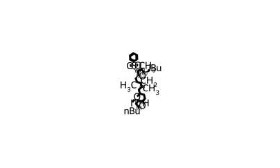 C=C(C(C)C[C@@H]1O[C@H](CC(C)CC)[C@H](C)[C@H]1CS(=O)(=O)c1ccccc1)[C@H](C)CC1CC[C@@H]2O[C@@H](CCCC)C[C@]2(CI)O1